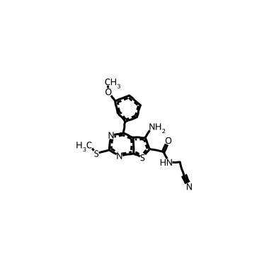 COc1cccc(-c2nc(SC)nc3sc(C(=O)NCC#N)c(N)c23)c1